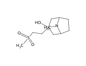 CN1C2CCC1CC(O)(CCS(C)(=O)=O)C2